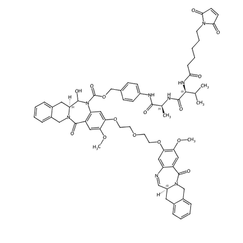 COc1cc2c(cc1OCCOCCOc1cc3c(cc1OC)C(=O)N1Cc4ccccc4C[C@H]1C(O)N3C(=O)OCc1ccc(NC(=O)[C@H](C)NC(=O)[C@@H](NC(=O)CCCCCN3C(=O)C=CC3=O)C(C)C)cc1)N=C[C@@H]1Cc3ccccc3CN1C2=O